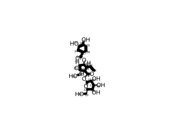 O=C(O[C@H]1[C@@H]2C=CO[C@@H](O[C@@H]3O[C@H](CO)[C@@H](O)[C@H](O)[C@H]3O)[C@@H]2[C@@]2(CO)O[C@@H]12)c1ccc(O)c(O)c1